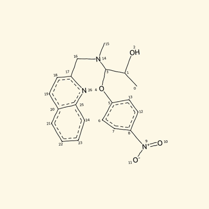 CC(O)C(Oc1ccc([N+](=O)[O-])cc1)N(C)Cc1ccc2ccccc2n1